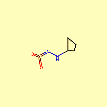 O=S(=O)=NNC1CCC1